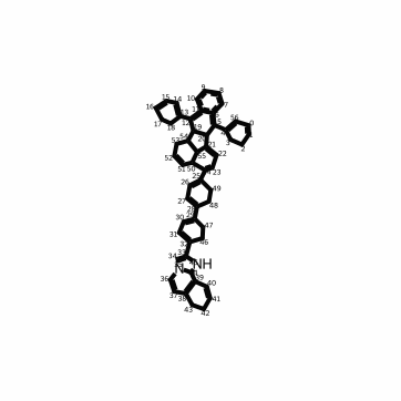 C1=CCCC(C2=c3ccccc3=C(C3=CC=CCC3)C3C2C2=CC=C(C4=CC=C(C5=CC=C(C6=CN7C=CC8=C(C=CCC8)C7N6)CC5)CC4)C4C=CCC3C24)=C1